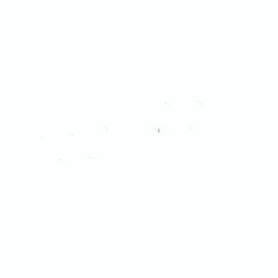 CCNc1nc(NCCNc2nc(OCCOC)nc(SCC)n2)nc(Sc2ccccc2)n1